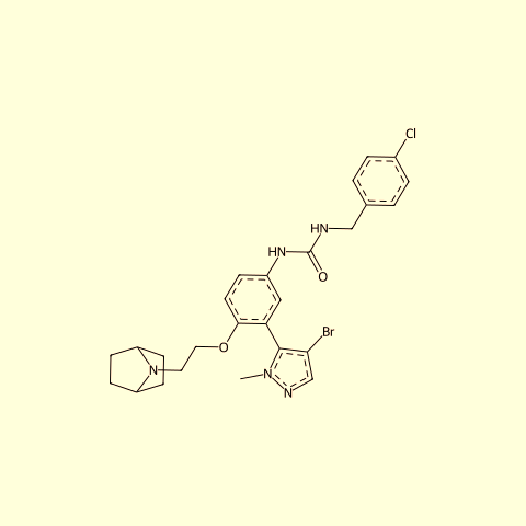 Cn1ncc(Br)c1-c1cc(NC(=O)NCc2ccc(Cl)cc2)ccc1OCCN1C2CCC1CC2